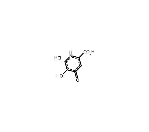 Cl.O=C(O)c1cc(=O)c(O)c[nH]1